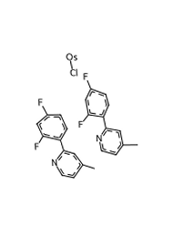 Cc1ccnc(-c2ccc(F)cc2F)c1.Cc1ccnc(-c2ccc(F)cc2F)c1.[Cl][Os]